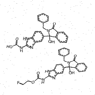 O=C(Nc1nc2cc(C3(O)c4ccccc4C(=O)N3Cc3ccccc3)ccc2[nH]1)OCCF.O=C(O)Nc1nc2cc(C3(O)c4ccccc4C(=O)N3Cc3ccccc3)ccc2[nH]1